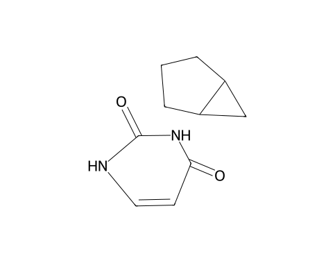 C1CC2CC2C1.O=c1cc[nH]c(=O)[nH]1